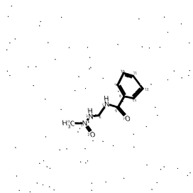 C[N+](=O)NCNC(=O)c1ccccc1